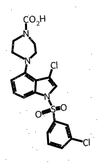 O=C(O)N1CCN(c2cccc3c2c(Cl)cn3S(=O)(=O)c2cccc(Cl)c2)CC1